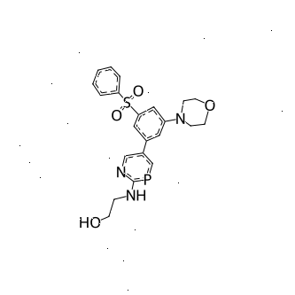 O=S(=O)(c1ccccc1)c1cc(-c2cnc(NCCO)pc2)cc(N2CCOCC2)c1